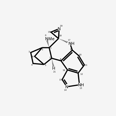 CN[C@@]12C3CCC(C3)[C@@H]1c1c(ccc3[nH]ncc13)N[C@@]21C=N1